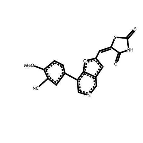 COc1ccc(-c2cncc3cc(C=C4SC(=S)NC4=O)oc23)cc1C#N